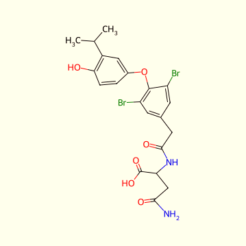 CC(C)c1cc(Oc2c(Br)cc(CC(=O)NC(CC(N)=O)C(=O)O)cc2Br)ccc1O